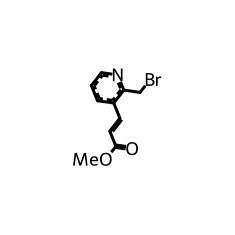 COC(=O)C=Cc1cccnc1CBr